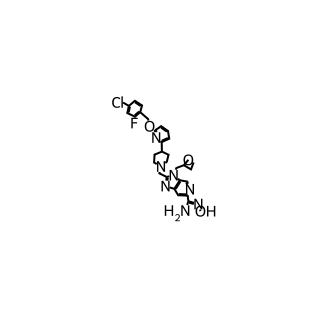 NC(=NO)c1cc2nc(CN3CCC(c4cccc(OCc5ccc(Cl)cc5F)n4)CC3)n(CC3CCO3)c2cn1